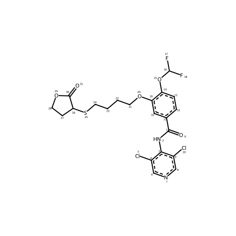 O=C(Nc1c(Cl)cncc1Cl)c1ccc(OC(F)F)c(OCCCCSC2CCOC2=O)c1